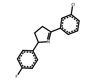 Fc1ccc(C2CCC(c3cccc(Cl)c3)=N2)cc1